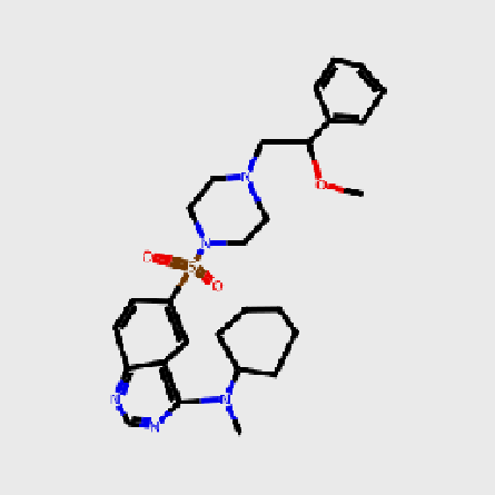 COC(CN1CCN(S(=O)(=O)c2ccc3ncnc(N(C)C4CCCCC4)c3c2)CC1)c1ccccc1